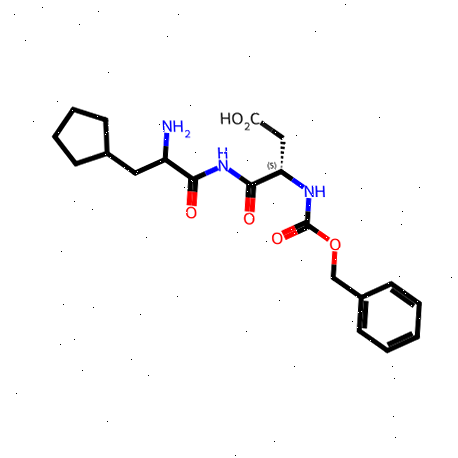 NC(CC1CCCC1)C(=O)NC(=O)[C@H](CC(=O)O)NC(=O)OCc1ccccc1